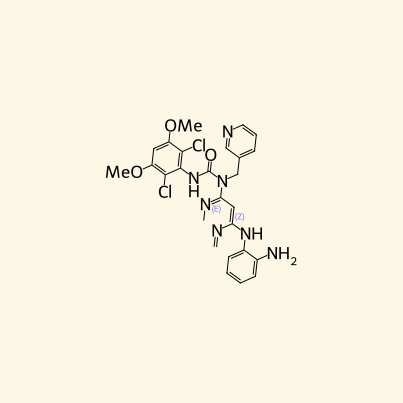 C=N/C(=C\C(=N/C)N(Cc1cccnc1)C(=O)Nc1c(Cl)c(OC)cc(OC)c1Cl)Nc1ccccc1N